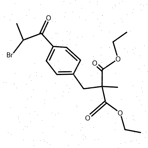 CCOC(=O)C(C)(Cc1ccc(C(=O)C(C)Br)cc1)C(=O)OCC